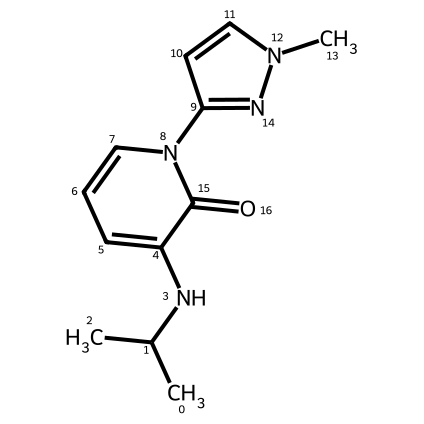 CC(C)Nc1cccn(-c2ccn(C)n2)c1=O